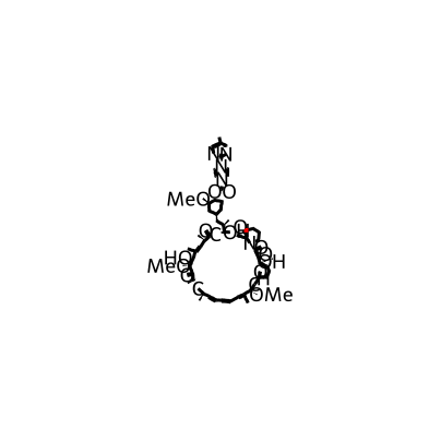 CO[C@H]1C[C@@H]2CC[C@@H](C)[C@@](O)(O2)C(=O)C(=O)N2CCCC[C@H]2C(=O)O[C@H]([C@H](C)C[C@@H]2CC[C@@H](OC(=O)N3CCN(c4ncc(C)cn4)CC3)[C@H](OC)C2)CC(=O)[C@H](C)/C=C(\C)[C@@H](O)[C@@H](OC)C(=O)[C@H](C)C[C@H](C)/C=C/C=C/C=C/1C